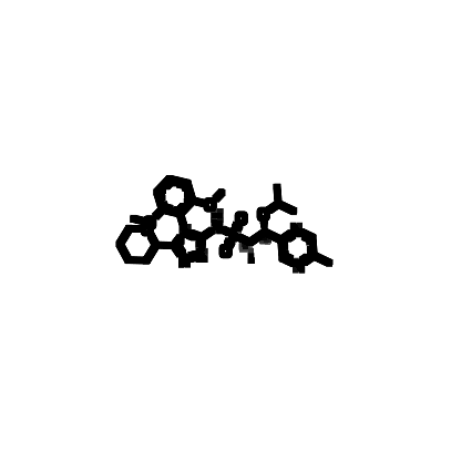 COc1cccc(OC)c1-n1c(NS(=O)(=O)[C@@H](C)[C@@H](OC(C)C)c2cnc(C)cn2)nnc1C1CCCCO1